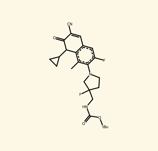 Cc1c2c(cc(F)c1N1CCC(F)(CNC(=O)OC(C)(C)C)C1)C=C(C#N)C(=O)C2C1CC1